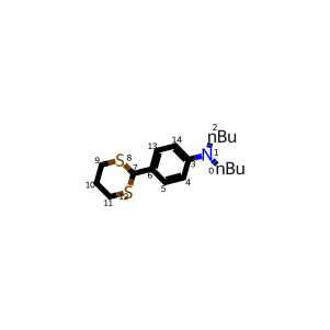 CCCCN(CCCC)c1ccc([C]2SCCCS2)cc1